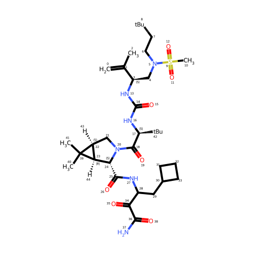 C=C(C)[C@@H](CN(CCC(C)(C)C)S(C)(=O)=O)NC(=O)N[C@H](C(=O)N1C[C@H]2[C@@H]([C@H]1C(=O)NC(CC1CCC1)C(=O)C(N)=O)C2(C)C)C(C)(C)C